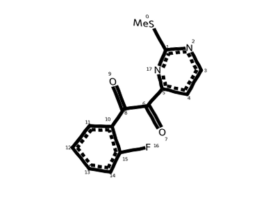 CSc1nccc(C(=O)C(=O)c2ccccc2F)n1